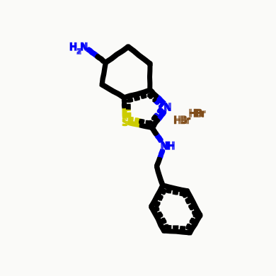 Br.Br.NC1CCc2nc(NCc3ccccc3)sc2C1